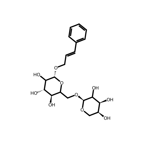 OC1[C@H](OC/C=C/c2ccccc2)OC(CO[C@@H]2OC[C@H](O)[C@H](O)C2O)[C@@H](O)[C@@H]1O